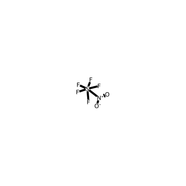 O=[N+]([O-])S(F)(F)(F)(F)F